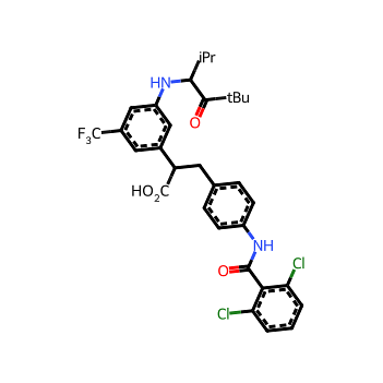 CC(C)C(Nc1cc(C(Cc2ccc(NC(=O)c3c(Cl)cccc3Cl)cc2)C(=O)O)cc(C(F)(F)F)c1)C(=O)C(C)(C)C